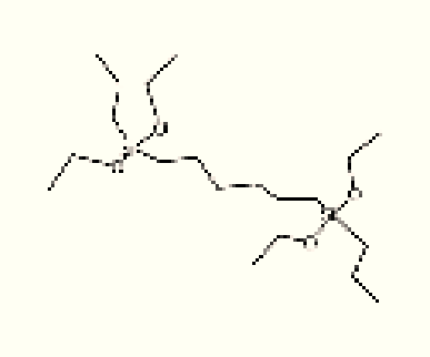 CCC[Si](CCCCCC[Si](CCC)(OCC)OCC)(OCC)OCC